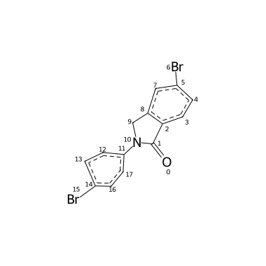 O=C1c2ccc(Br)cc2CN1c1ccc(Br)cc1